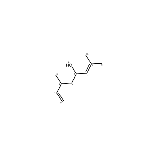 C=CC(C)CC(O)C=C(C)C